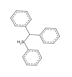 [c]1ccc([SiH2]C(c2ccccc2)c2ccccc2)cc1